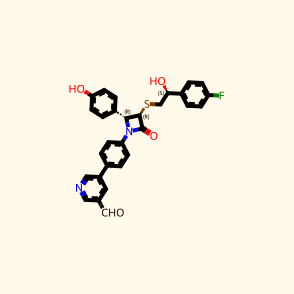 O=Cc1cncc(-c2ccc(N3C(=O)[C@H](SC[C@@H](O)c4ccc(F)cc4)[C@H]3c3ccc(O)cc3)cc2)c1